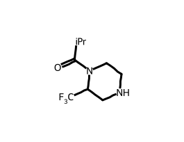 CC(C)C(=O)N1CCNCC1C(F)(F)F